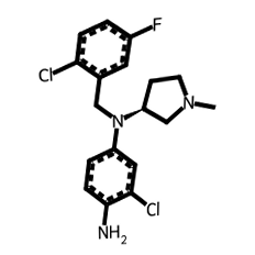 CN1CC[C@H](N(Cc2cc(F)ccc2Cl)c2ccc(N)c(Cl)c2)C1